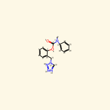 CN(C(=O)Oc1ccccc1Cn1cnnn1)c1ccccc1